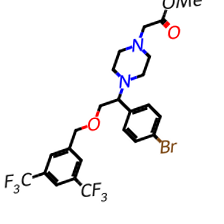 COC(=O)CN1CCN(C(COCc2cc(C(F)(F)F)cc(C(F)(F)F)c2)c2ccc(Br)cc2)CC1